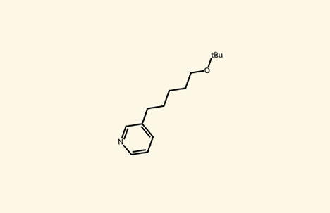 [CH2]C(C)(C)OCCCCCc1cccnc1